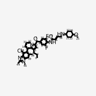 CCCc1cc(C(=O)c2cc(F)c(NC(=O)/C=C/CNC3CCC(OC)CC3)c(F)c2)n2cccc(-c3c(C)cc4c(nc(C)n4C)c3Cl)c12